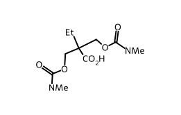 CCC(COC(=O)NC)(COC(=O)NC)C(=O)O